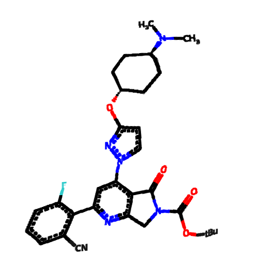 CN(C)[C@H]1CC[C@H](Oc2ccn(-c3cc(-c4c(F)cccc4C#N)nc4c3C(=O)N(C(=O)OC(C)(C)C)C4)n2)CC1